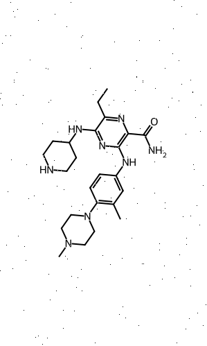 CCc1nc(C(N)=O)c(Nc2ccc(N3CCN(C)CC3)c(C)c2)nc1NC1CCNCC1